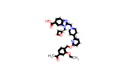 CCOc1cc(C(C)=O)ccc1COc1cccc(C2CCN(Cc3nc4ccc(C(=O)O)cc4n3C[C@@H]3CCO3)CC2)n1